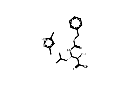 CC(C)C[C@H](NC(=O)OCc1ccccc1)[C@@H](O)C(=O)O.Cc1cc(C)[nH]n1